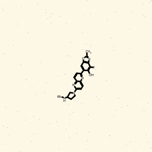 Cc1nc2c(F)c(O)c(-c3ccc4nc(N5CCC(NC(C)(C)C)C5)ccc4n3)cc2o1